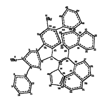 CC(C)(C)c1cc2c(cc1-c1ccccc1)[CH]([Zr](=[C](c1cccc3ccccc13)c1cccc3ccccc13)[CH]1C=CC=C1)c1cc(-c3ccccc3)c(C(C)(C)C)cc1-2